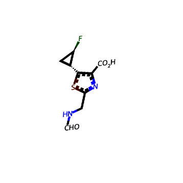 O=CNCc1nc(C(=O)O)c([C@@H]2C[C@H]2F)s1